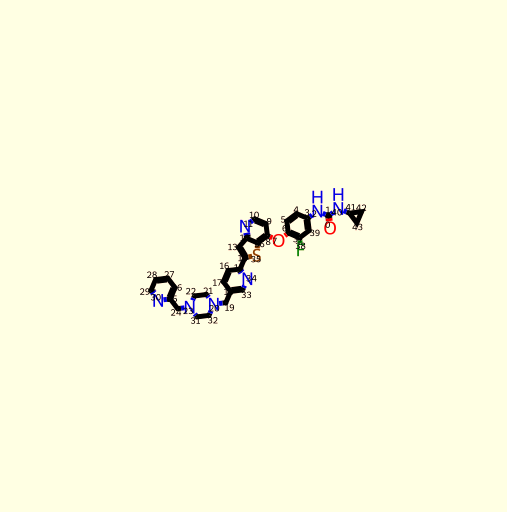 O=C(Nc1ccc(Oc2ccnc3cc(-c4ccc(CN5CCN(Cc6ccccn6)CC5)cn4)sc23)c(F)c1)NC1CC1